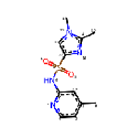 Cc1ccnc(NS(=O)(=O)c2cn(C)c(C)n2)c1